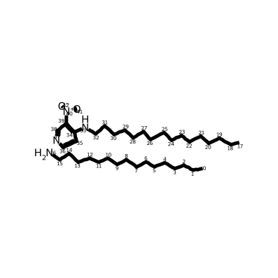 CCCCCCCCCCCCCCCCN.CCCCCCCCCCCCCCCCNc1ccncc1[N+](=O)[O-]